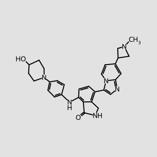 CN1CC(c2ccn3c(-c4ccc(Nc5ccc(N6CCC(O)CC6)cc5)c5c4CNC5=O)cnc3c2)C1